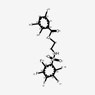 O=C(OCCNS(=O)(=O)c1c(F)c(F)c(F)c(F)c1F)c1cc(I)cc(I)c1I